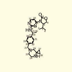 CC(C)C1COC(=O)N1c1ccnc(N[C@@H](C)c2ccc(CN3CCNC4(CC4)C3)cc2)n1